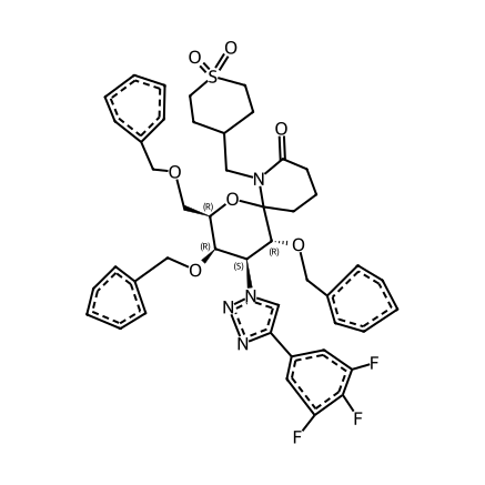 O=C1CCCC2(O[C@H](COCc3ccccc3)[C@H](OCc3ccccc3)[C@H](n3cc(-c4cc(F)c(F)c(F)c4)nn3)[C@H]2OCc2ccccc2)N1CC1CCS(=O)(=O)CC1